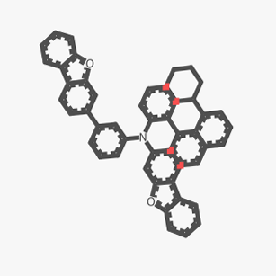 c1cc(-c2ccc3c(c2)oc2ccccc23)cc(N(c2ccc3c(c2)oc2ccccc23)c2ccccc2-c2cccc3cccc(C4CCCCC4)c23)c1